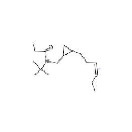 CC/C=C\CCC1CC1CN(C(=O)CC)C(C)(C)C